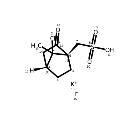 CC1(C)[C@@H]2CC[C@@]1(CS(=O)(=O)O)C(=O)C2.[I-].[K+]